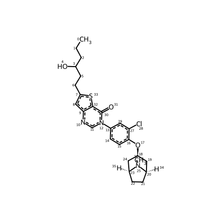 CCCC(O)CCc1cc2ncn(-c3ccc(O[C@H]4C[C@H]5CC[C@@H](C4)N5C)c(Cl)c3)c(=O)c2s1